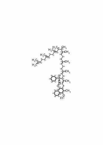 CCOc1c(C)c(C/C=C(\C)C(C/C=C(\C)CC/C=C(\C)CC/C=C(\C)C(C)C(C)/C=C(\C)CC/C=C(\C)CCC=C(C)C)S(=O)(=O)c2ccccc2)c(OCC)c2ccccc12